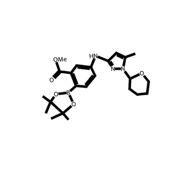 COC(=O)c1cc(Nc2cc(C)n(C3CCCCO3)n2)ccc1B1OC(C)(C)C(C)(C)O1